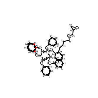 c1ccc(ON2P(Oc3ccccc3)N=P(Oc3ccccc3)(Oc3ccccc3CCCCOCC3CO3)N(Oc3ccccc3)P2Oc2ccccc2)cc1